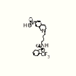 O=[N+](O)c1ccc2c(c1)CN(CCCCNS(=O)(=O)c1ccccc1C(F)(F)F)CC2